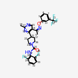 C/C(=N/Oc1cccc(C(F)(F)F)c1)c1cnc(C)nc1C1CCN(C(=O)Nc2c(F)cccc2F)CC1